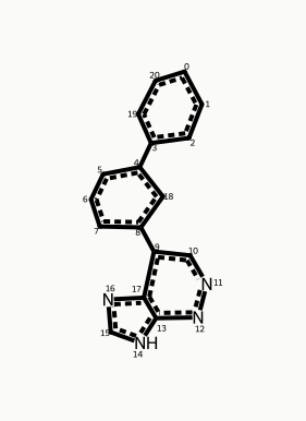 c1ccc(-c2cccc(-c3cnnc4[nH]cnc34)c2)cc1